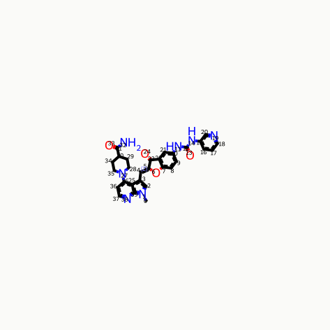 Cn1cc(/C=C2\Oc3ccc(NC(=O)Nc4cccnc4)cc3C2=O)c2c(N3CCC(C(N)=O)CC3)ccnc21